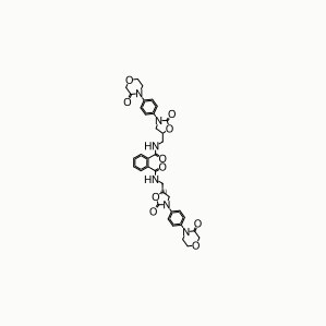 O=C(NCC1CN(c2ccc(N3CCOCC3=O)cc2)C(=O)O1)c1ccccc1C(=O)NC[C@H]1CN(c2ccc(N3CCOCC3=O)cc2)C(=O)O1